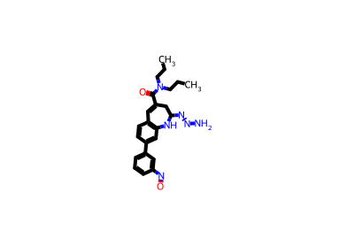 CCCN(CCC)C(=O)C1=Cc2ccc(-c3cccc(N=O)c3)cc2NC(N=NN)C1